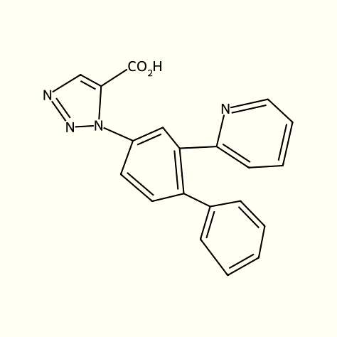 O=C(O)c1cnnn1-c1ccc(-c2ccccc2)c(-c2ccccn2)c1